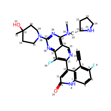 C#Cc1c(F)ccc2[nH]c(=O)cc(-c3ncc4c(N(C)C[C@@H]5CCCN5)nc(N5CCC(C)(O)CC5)nc4c3F)c12